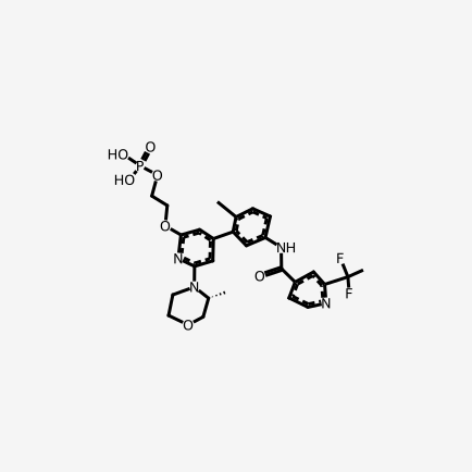 Cc1ccc(NC(=O)c2ccnc(C(C)(F)F)c2)cc1-c1cc(OCCOP(=O)(O)O)nc(N2CCOC[C@H]2C)c1